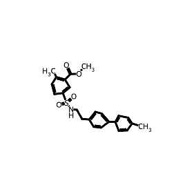 COC(=O)c1cc(S(=O)(=O)NCCc2ccc(-c3ccc(C)cc3)cc2)ccc1C